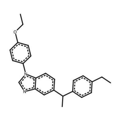 CCOc1ccc(-n2cnc3cc(C(C)c4ccc(CC)cc4)ccc32)cc1